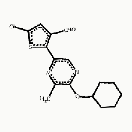 Cc1nc(-c2sc(Cl)cc2C=O)cnc1OC1CCCCC1